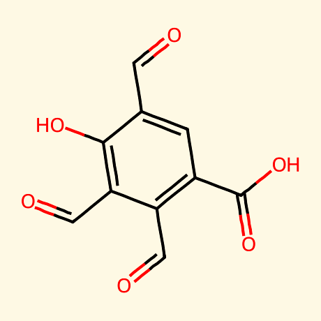 O=Cc1cc(C(=O)O)c(C=O)c(C=O)c1O